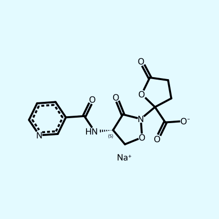 O=C1CCC(C(=O)[O-])(N2OC[C@H](NC(=O)c3cccnc3)C2=O)O1.[Na+]